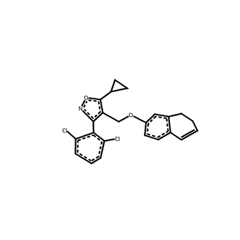 Clc1cccc(Cl)c1-c1noc(C2CC2)c1COc1ccc2c(c1)CCC=C2